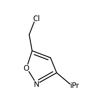 CC(C)c1cc(CCl)on1